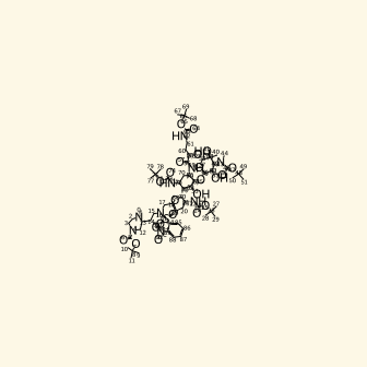 CN1CCN(C(=O)OC(C)(C)C)CC1CCN(CC1=CC[C@@H](NC(=O)OC(C)(C)C)C([C@H]2[C@H](O)[C@@H](O[C@H]3OC[C@](C)(O)[C@H](N(C)C(=O)OC(C)(C)C)[C@H]3O)[C@H](NC(=O)[C@@H](O)CCNC(=O)OC(C)(C)C)C[C@@H]2NC(=O)OC(C)(C)C)O1)S(=O)(=O)c1ccccc1[N+](=O)[O-]